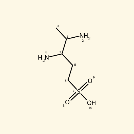 CC(N)C(N)CCS(=O)(=O)O